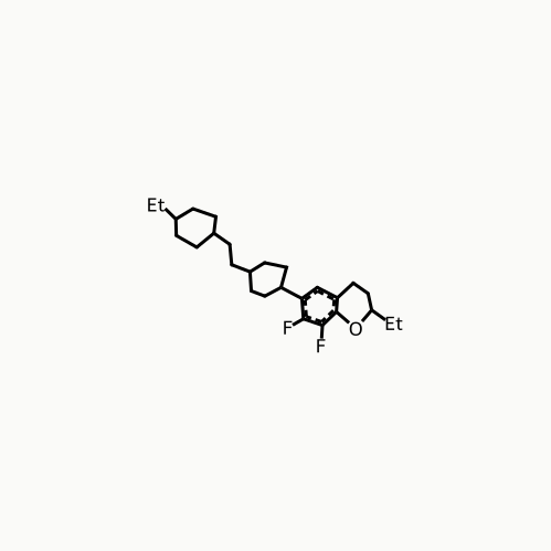 CCC1CCC(CCC2CCC(c3cc4c(c(F)c3F)OC(CC)CC4)CC2)CC1